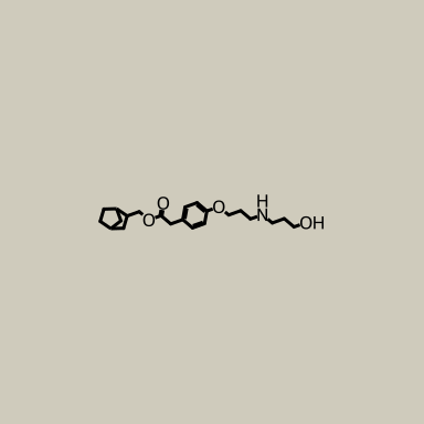 O=C(Cc1ccc(OCCCNCCCO)cc1)OCC1CC2CCC1C2